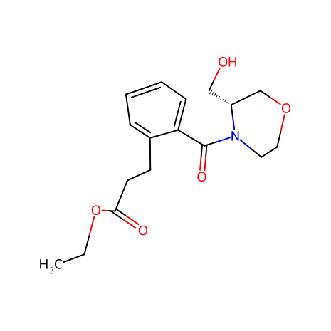 CCOC(=O)CCc1ccccc1C(=O)N1CCOC[C@H]1CO